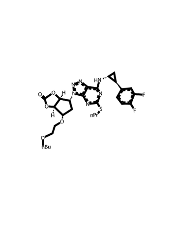 CCCCOCCO[C@H]1C[C@@H](n2nnc3c(N[C@@H]4C[C@H]4c4ccc(F)c(F)c4)nc(SCCC)nc32)[C@@H]2OC(=O)O[C@@H]21